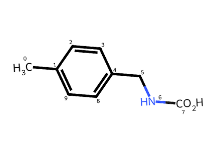 Cc1ccc(CNC(=O)O)cc1